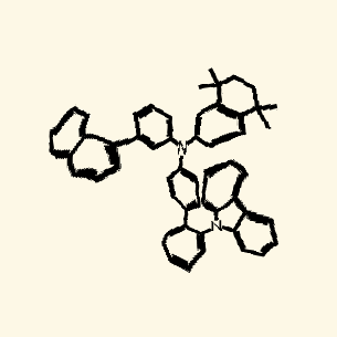 CC1(C)CCC(C)(C)c2cc(N(c3ccc(-c4ccccc4-n4c5ccccc5c5ccccc54)cc3)c3cccc(-c4cccc5ccccc45)c3)ccc21